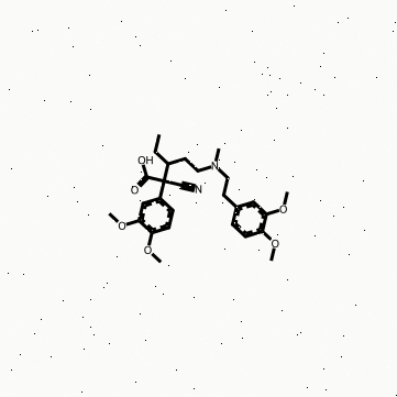 CCC(CCN(C)CCc1ccc(OC)c(OC)c1)C(C#N)(C(=O)O)c1ccc(OC)c(OC)c1